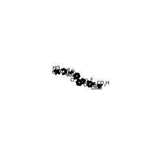 COc1cc(OC2CCc3c(-c4cccc(NC(=O)c5nc6c(n5C)CCN(CC5(CO)COC5)C6)c4Cl)cccc32)c(Cl)c(F)c1CNC1(C(=O)O)CC1